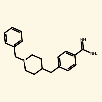 N=C(N)c1ccc(CC2CCN(Cc3ccccc3)CC2)cc1